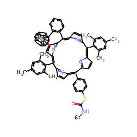 CCNC(=O)Sc1ccc(C2=C3C=CC(=N3)C(c3c(C)cc(C)cc3C)=C3C=CC(=N3)C(c3ccccc3[C]34[CH]5[CH]6[CH]7[CH]3[Fe]6754389%10[CH]4[CH]3[CH]8[CH]9[CH]4%10)=C3C=CC(=N3)C(c3c(C)cc(C)cc3C)=C3C=CC2=N3)cc1